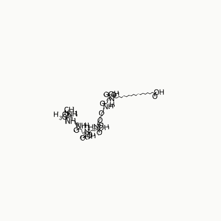 CN(C)N[C@@H](CCCCNC(=O)CC[C@H](NC(=O)CC[C@H](NC(=O)COCCOCCNC(=O)CC[C@H](NC(=O)CCCCCCCCCCCCCCCCC(=O)O)C(=O)O)C(=O)O)C(=O)O)C(N)=O